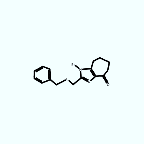 CCn1c(COCc2ccccc2)nc2c1CCCCC2=O